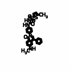 CNc1ccc2c(=O)n(-c3ccc(NC(=O)NS(=O)(=O)c4ccc(C)s4)cc3)cc(-c3ccccc3)c2c1